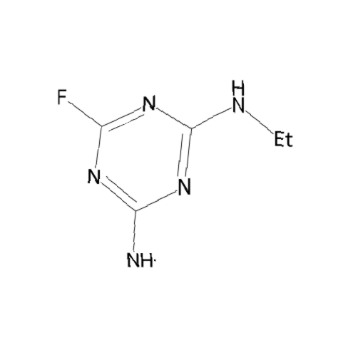 CCNc1nc([NH])nc(F)n1